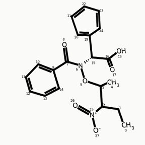 CCC(C(C)ON(C(=O)c1ccccc1)[C@@H](C(=O)O)c1ccccc1)[N+](=O)[O-]